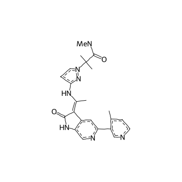 CNC(=O)C(C)(C)n1ccc(N/C(C)=C2\C(=O)Nc3cnc(-c4cnccc4C)cc32)n1